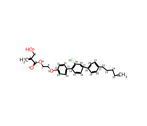 C=C(CO)C(=O)OCCOc1ccc(-c2ccc(-c3ccc(CCCCC)cc3)cc2F)cc1